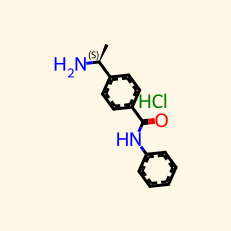 C[C@H](N)c1ccc(C(=O)Nc2ccccc2)cc1.Cl